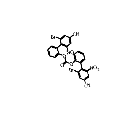 N#Cc1cc(Br)c(-c2ccccc2OC(=O)Oc2ccccc2-c2c(Br)cc(C#N)cc2[N+](=O)[O-])c([N+](=O)[O-])c1